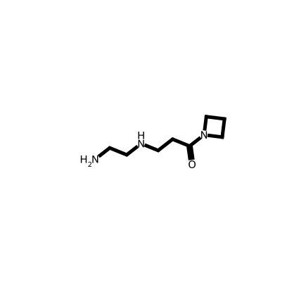 NCCNCCC(=O)N1CCC1